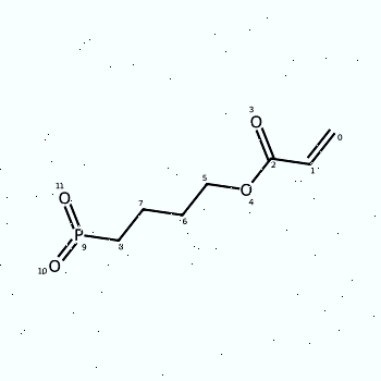 C=CC(=O)OCCCCP(=O)=O